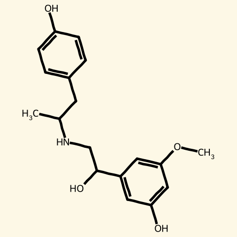 COc1cc(O)cc(C(O)CNC(C)Cc2ccc(O)cc2)c1